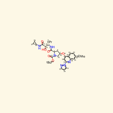 CCC[C@H](NC(=O)C1C[C@@H](Oc2cc(-n3cccn3)nc3cc(OC)ccc23)CN1C(=O)OC(C)(C)C)C(O)C(=O)NC1CC1